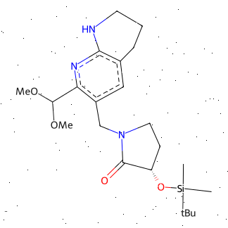 COC(OC)c1nc2c(cc1CN1CC[C@H](O[Si](C)(C)C(C)(C)C)C1=O)CCCN2